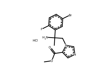 COC(=O)c1cncn1CC(C)(N)c1cc(Br)ccc1F.Cl